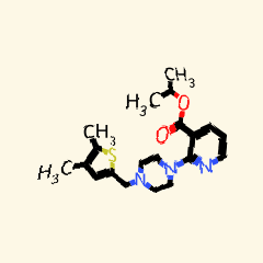 Cc1cc(CN2CCN(c3ncccc3C(=O)OC(C)C)CC2)sc1C